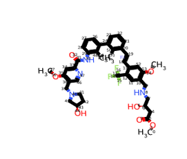 COC(=O)C[C@H](O)CNCc1cc(C(F)(F)F)c(/C=C/c2cccc(-c3cccc(NC(=O)c4cc(OC)c(CN5CC[C@@H](O)C5)cn4)c3C)c2C)cc1OC